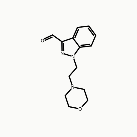 O=Cc1nn(CCN2CCOCC2)c2ccccc12